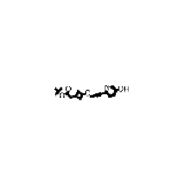 CC(C)(C)OC(=O)CC1CC(OCC#Cc2ccc(O)cn2)C1